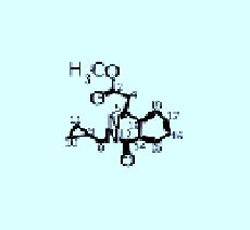 COC(=O)Cc1nn(CC2CC2)c(=O)c2ccccc12